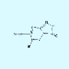 N#Cc1cc2n[nH]c(=O)n2cc1Br